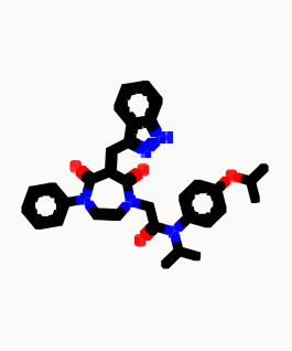 CC(C)Oc1ccc(N(C(=O)CN2C=CN(c3ccccc3)C(=O)C(=Cc3n[nH]c4ccccc34)C2=O)C(C)C)cc1